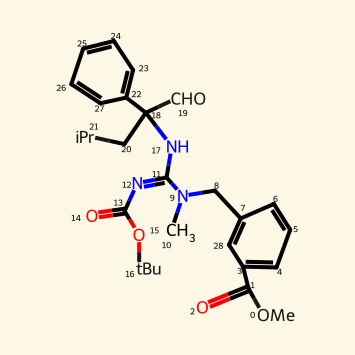 COC(=O)c1cccc(CN(C)C(=NC(=O)OC(C)(C)C)NC(C=O)(CC(C)C)c2ccccc2)c1